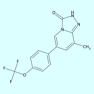 Cc1cc(-c2ccc(OC(F)(F)F)cc2)cn2c(=O)[nH]nc12